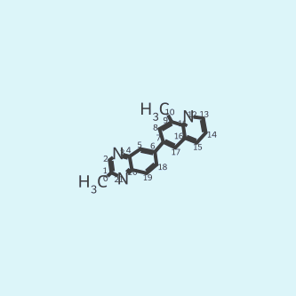 Cc1cnc2cc(-c3cc(C)c4ncccc4c3)ccc2n1